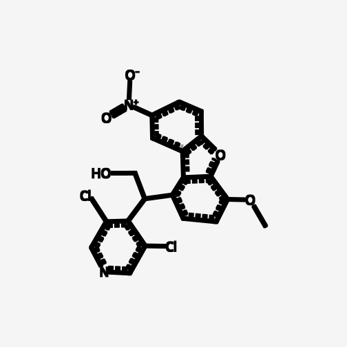 COc1ccc(C(CO)c2c(Cl)cncc2Cl)c2c1oc1ccc([N+](=O)[O-])cc12